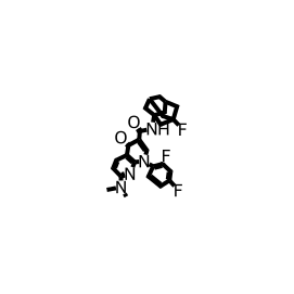 CN(C)c1ccc2c(=O)c(C(=O)NC34CC5CC(CC(F)(C5)C3)C4)cn(-c3ccc(F)cc3F)c2n1